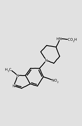 Cn1ncc2cc([N+](=O)[O-])c(N3CCC(NC(=O)O)CC3)cc21